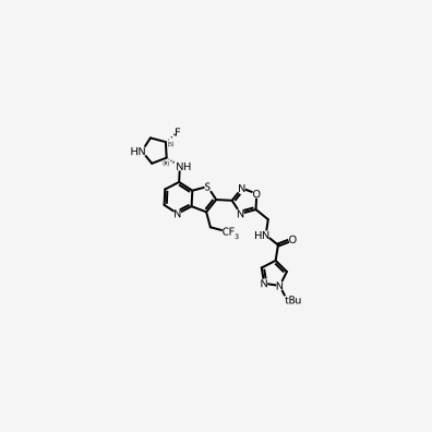 CC(C)(C)n1cc(C(=O)NCc2nc(-c3sc4c(N[C@@H]5CNC[C@@H]5F)ccnc4c3CC(F)(F)F)no2)cn1